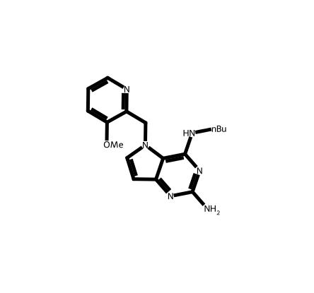 CCCCNc1nc(N)nc2ccn(Cc3ncccc3OC)c12